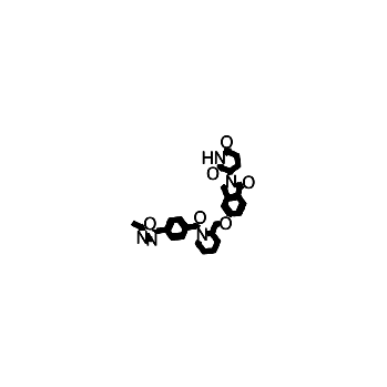 Cc1nnc(-c2ccc(C(=O)N3CCCCC3COc3ccc4c(c3)CN(C3CCC(=O)NC3=O)C4=O)cc2)o1